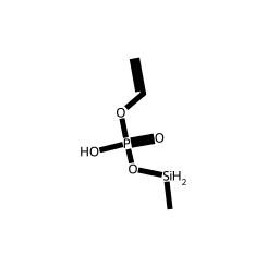 C=COP(=O)(O)O[SiH2]C